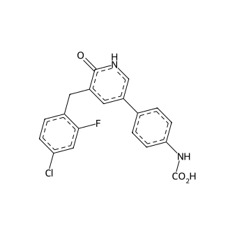 O=C(O)Nc1ccc(-c2c[nH]c(=O)c(Cc3ccc(Cl)cc3F)c2)cc1